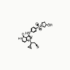 N#CCC(C1CC1)n1nc(Nc2ccc(S(=O)(=O)N3CCC(O)C3)cc2)c2c(=O)[nH]ccc21